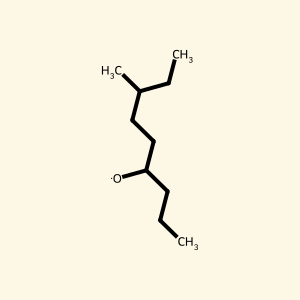 CCCC([O])CCC(C)CC